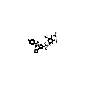 COc1nc(NS(=O)(=O)c2cc(C3CCC3)n(S(=O)(=O)c3ccc(C)cc3)c2)nc(OC)c1OC(F)F